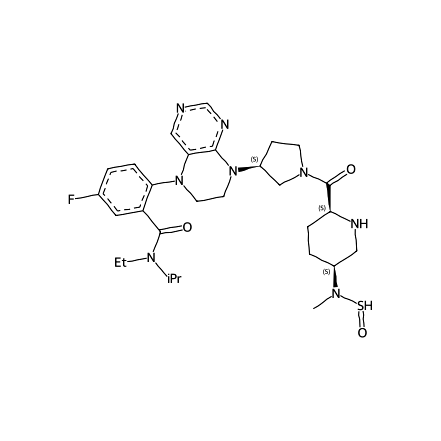 CCN(C(=O)c1cc(F)ccc1N1CCN([C@H]2CCN(C(=O)[C@@H]3CC[C@H](N(C)[SH]=O)CN3)C2)c2ncncc21)C(C)C